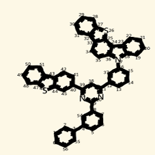 c1ccc(-c2cccc(-c3nc(-c4cccc(-n5c6ccccc6c6c7sc8ccccc8c7ccc65)c4)cc(-c4ccc5c(c4)sc4ccccc45)n3)c2)cc1